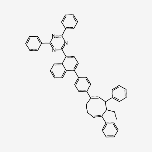 CCC1/C(c2ccccc2)=C\CC/C(c2ccc(-c3ccc(-c4nc(-c5ccccc5)nc(-c5ccccc5)n4)c4ccccc34)cc2)=C\C1c1ccccc1